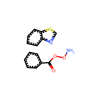 NOOC(=O)c1ccccc1.c1ccc2scnc2c1